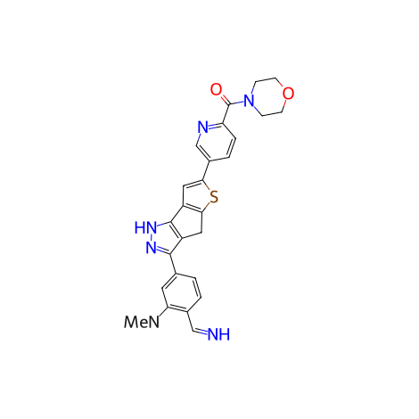 CNc1cc(-c2n[nH]c3c2Cc2sc(-c4ccc(C(=O)N5CCOCC5)nc4)cc2-3)ccc1C=N